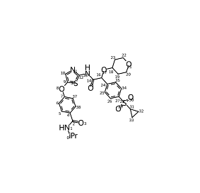 CC(C)NC(=O)c1ccc(Oc2cnc(NC(=O)C(OC3CCOCC3)c3ccc(S(=O)(=O)C4CC4)cc3)s2)cc1